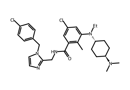 CCN(c1cc(Cl)cc(C(=O)NCc2nccn2Cc2ccc(Cl)cc2)c1C)[C@H]1CC[C@H](N(C)C)CC1